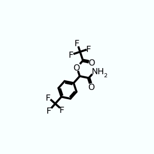 NC(=O)C(OC(=O)C(F)(F)F)c1ccc(C(F)(F)F)cc1